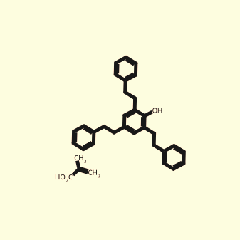 C=C(C)C(=O)O.Oc1c(CCc2ccccc2)cc(CCc2ccccc2)cc1CCc1ccccc1